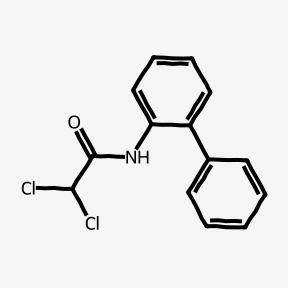 O=C(Nc1ccccc1-c1ccccc1)C(Cl)Cl